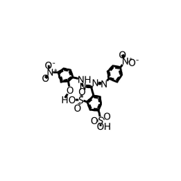 COc1cc([N+](=O)[O-])ccc1NN=C(N=Nc1ccc([N+](=O)[O-])cc1)c1ccc(S(=O)(=O)O)cc1S(=O)(=O)O